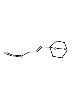 [N-]=[N+]=NCC=CC12CCC(CC1)OC2